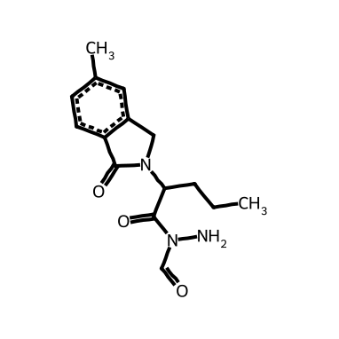 CCCC(C(=O)N(N)C=O)N1Cc2cc(C)ccc2C1=O